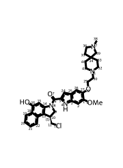 COc1cc2[nH]c(C(=O)N3C[C@@H](CCl)c4c3cc(O)c3ccccc43)cc2cc1OCCN1CCC2(CCN(C)C2)CC1